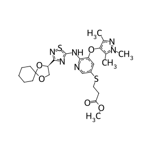 COC(=O)CCSc1cnc(Nc2nc([C@H]3COC4(CCCCC4)O3)ns2)c(Oc2c(C)nn(C)c2C)c1